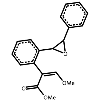 COC=C(C(=O)OC)c1ccccc1C1OC1c1ccccc1